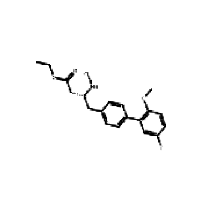 CCOC(=O)C[C@@H](Cc1ccc(-c2cc(F)ccc2OC)cc1)NCl